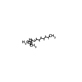 CCCCCCCC[CH2][GeH]([CH3])[CH3]